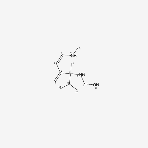 C=C(/C=C\NC)[C@@](C)(NCO)C(C)C